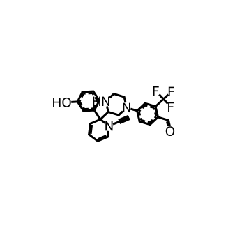 C#CN1C=CC=CC1(c1cccc(O)c1)C1CN(c2ccc(C=O)c(C(F)(F)F)c2)CCN1